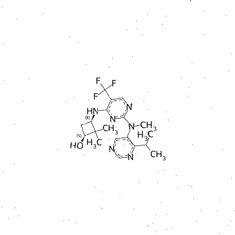 CC(C)c1ncncc1N(C)c1ncc(C(F)(F)F)c(N[C@@H]2C[C@H](O)C2(C)C)n1